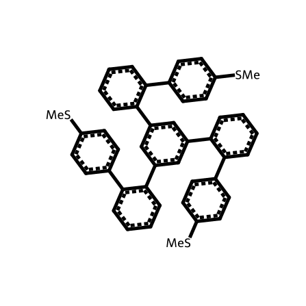 CSc1ccc(-c2ccccc2-c2cc(-c3ccccc3-c3ccc(SC)cc3)cc(-c3ccccc3-c3ccc(SC)cc3)c2)cc1